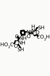 O=C(O)CC[C@H](NC(=O)CS)C(=O)Nc1cccc(NC(=O)[C@H](CCC(=O)O)NC(=O)CS)c1